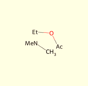 CCOC(C)=O.CNC